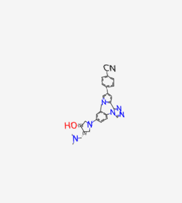 CN(C)C[C@H]1CN(c2ccc3c(c2)Cn2cc(-c4ccc(C#N)cc4)cc2-c2nncn2-3)C[C@H]1O